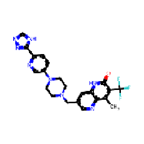 Cc1c(C(F)(F)F)c(=O)[nH]c2cc(CN3CCN(c4ccc(-c5nnc[nH]5)nc4)CC3)cnc12